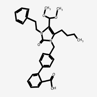 CCCCc1c(C(OC)OC)n(CCc2ccccc2)c(=O)n1Cc1ccc(-c2ccccc2C(=O)O)cc1